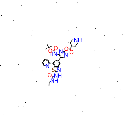 CCNC(=O)Nc1nc2cc(-c3cnc(OC(=O)C4CCNCC4)nc3NC(=O)OC(C)(C)C)cc(-c3ccccn3)c2s1